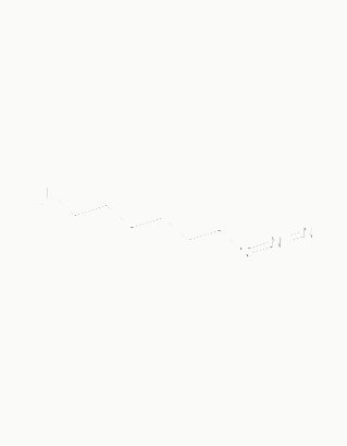 [N-]=[N+]=NCCCCCCP